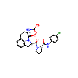 O=C(O)N[C@H]1CCc2cccc3c2N(C1=O)[C@H](C(=O)N1CCC[C@H]1C(=O)Nc1ccc(Br)cc1)C3